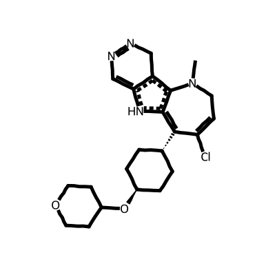 CN1CC=C(Cl)C([C@H]2CC[C@H](OC3CCOCC3)CC2)=c2[nH]c3c(c21)CN=NC=3